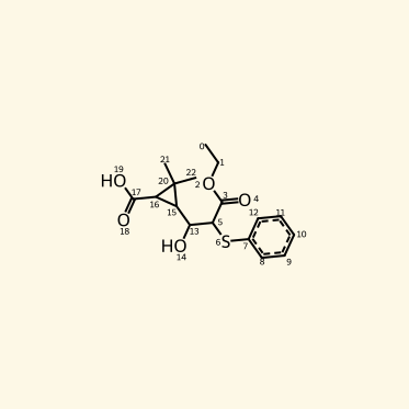 CCOC(=O)C(Sc1ccccc1)C(O)C1C(C(=O)O)C1(C)C